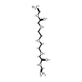 C=COC(=O)COCCOCCOCC(=O)OC=C